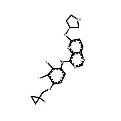 Fc1c(Nc2ncnc3ccc(O[C@H]4CCNC4)nc23)ccc(OCC2(F)CC2)c1Cl